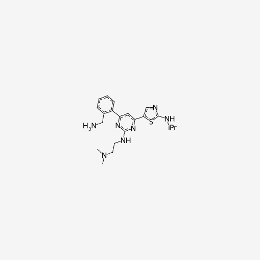 CC(C)Nc1ncc(-c2cc(-c3ccccc3CN)nc(NCCN(C)C)n2)s1